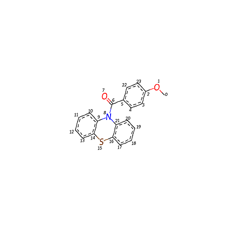 COc1ccc(C(=O)N2c3ccccc3Sc3ccccc32)cc1